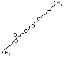 CCCCCCCCOCCOCCOCCCC(=O)OCCCCCC